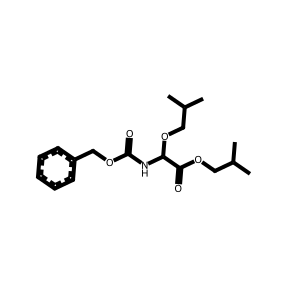 CC(C)COC(=O)C(NC(=O)OCc1ccccc1)OCC(C)C